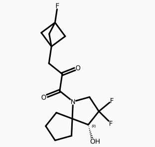 O=C(CC12CC(F)(C1)C2)C(=O)N1CC(F)(F)[C@H](O)C12CCCC2